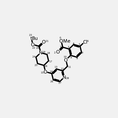 COC(=O)c1cc(Cl)ccc1OCc1cc(OC2CCN(C(=O)OC(C)(C)C)CC2)ccn1